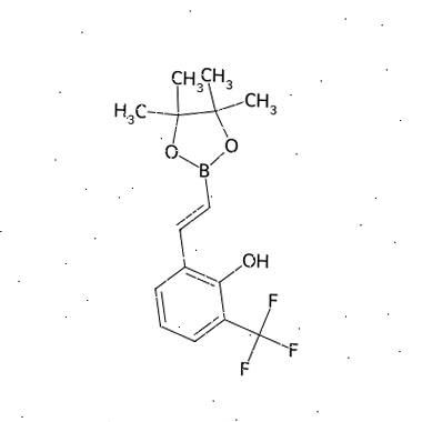 CC1(C)OB(/C=C/c2cccc(C(F)(F)F)c2O)OC1(C)C